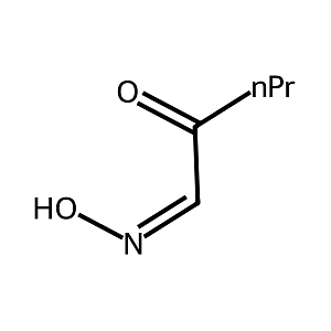 CCCC(=O)/C=N\O